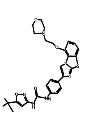 CC(C)(C)c1cc(NC(=O)Nc2ccc(-c3cn4c(n3)sc3cccc(OCCN5CCOCC5)c34)cc2)no1